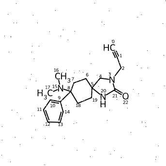 C#CCN1CC2(CCC(c3ccccc3)(N(C)C)CC2)NC1=O